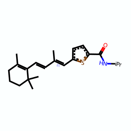 CC1=C(C=C/C(C)=C/c2ccc(C(=O)NC(C)C)s2)C(C)(C)CCC1